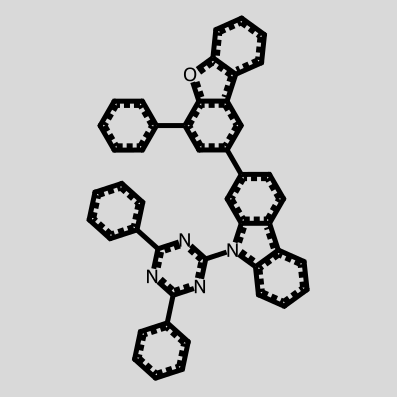 c1ccc(-c2nc(-c3ccccc3)nc(-n3c4ccccc4c4ccc(-c5cc(-c6ccccc6)c6oc7ccccc7c6c5)cc43)n2)cc1